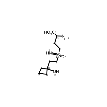 N=[S@@](=O)(CCC(N)C(=O)O)CCC1(O)CCC1